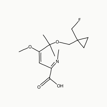 C/N=C(\C=C(\OC)C(C)(C)OCC1(CF)CC1)C(=O)O